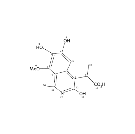 COc1c(O)c(O)cc2c(C(C)C(=O)O)c(O)nc(C)c12